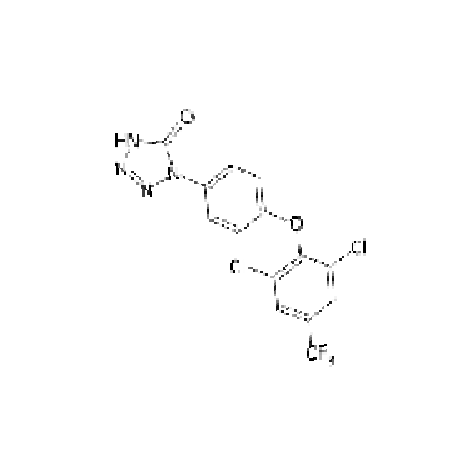 O=c1[nH]nnn1-c1ccc(Oc2c(Cl)cc(C(F)(F)F)cc2Cl)cc1